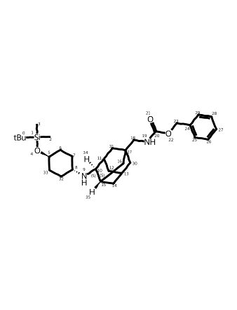 CC(C)(C)[Si](C)(C)O[C@H]1CC[C@H](N[C@H]2C3CC4C[C@H]2CC(CNC(=O)OCc2ccccc2)(C4)C3)CC1